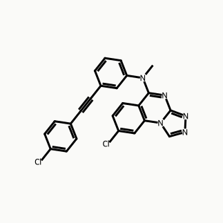 CN(c1cccc(C#Cc2ccc(Cl)cc2)c1)c1nc2nncn2c2cc(Cl)ccc12